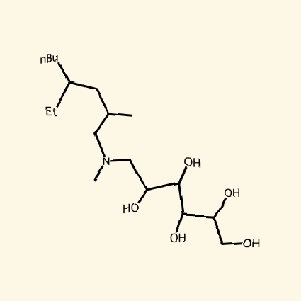 CCCCC(CC)CC(C)CN(C)CC(O)C(O)C(O)C(O)CO